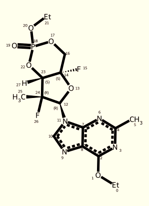 CCOc1nc(C)nc2c1ncn2[C@@H]1O[C@]2(F)COP(=O)(OCC)O[C@H]2[C@@]1(C)F